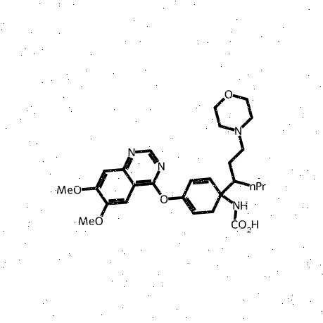 CCCC(CCN1CCOCC1)C1(NC(=O)O)C=CC(Oc2ncnc3cc(OC)c(OC)cc23)=CC1